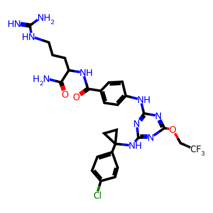 N=C(N)NCCCC(NC(=O)c1ccc(Nc2nc(NC3(c4ccc(Cl)cc4)CC3)nc(OCC(F)(F)F)n2)cc1)C(N)=O